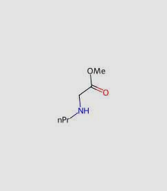 [CH2]OC(=O)CNCCC